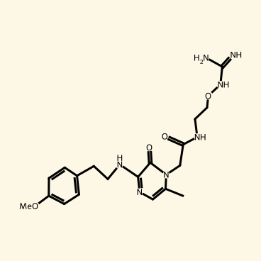 COc1ccc(CCNc2ncc(C)n(CC(=O)NCCONC(=N)N)c2=O)cc1